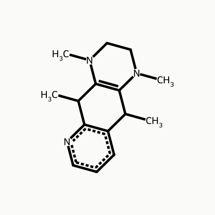 CC1C2=C(C(C)c3ncccc31)N(C)CCN2C